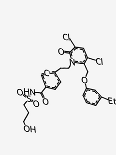 CCc1cccc(OCc2c(Cl)cc(Cl)c(=O)n2CCc2ccc(C(=O)NS(=O)(=O)CCCO)cc2)c1